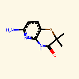 CC1(C)Sc2ccc(N)nc2NC1=O